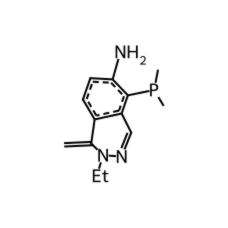 C=C1c2ccc(N)c(P(C)C)c2C=NN1CC